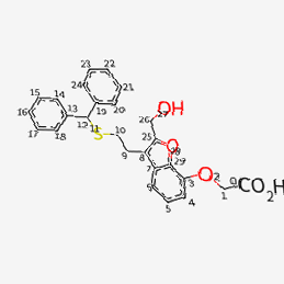 O=C(O)COc1cccc2c(CCSC(c3ccccc3)c3ccccc3)c(CO)oc12